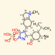 CC(C)c1cc(-c2nnc(O)n2-c2ccc3c(ccn3C)c2)c(O)c[c]1[Na].O=P(O)(O)O